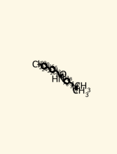 CN(C)CCc1ccc(NC(=O)C=Cc2ccc(-c3ccc(Cl)cc3)cc2)cc1